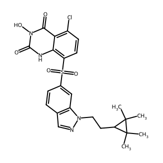 CC1(C)C(CCn2ncc3ccc(S(=O)(=O)c4ccc(Cl)c5c(=O)n(O)c(=O)[nH]c45)cc32)C1(C)C